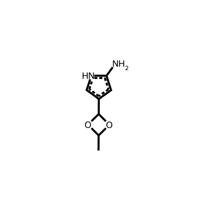 CC1OC(c2c[nH]c(N)c2)O1